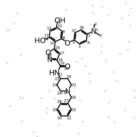 CN(C)c1ccc(Oc2cc(O)cc(O)c2-c2cc(C(=O)NC3CCN(Cc4ccccc4)CC3)no2)cc1